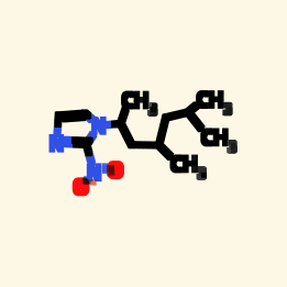 CC(C)CC(C)CC(C)n1ccnc1[N+](=O)[O-]